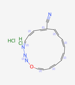 Cl.Cl.N#CC1=C/C=C\C=N/N=N\O/C=C\C=C/C=C\C=C/C=C\1